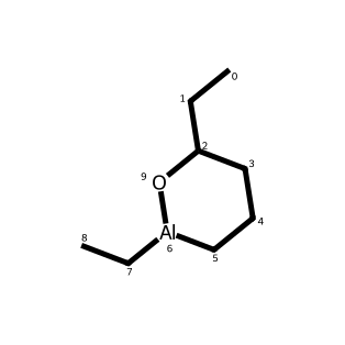 CCC1CC[CH2][Al]([CH2]C)[O]1